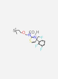 C[Si](C)(C)CCOCN(C(=O)O)C1=NC(CF)(c2cccc(F)c2F)C=CS1